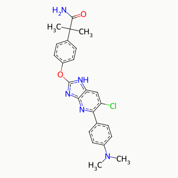 CN(C)c1ccc(-c2nc3nc(Oc4ccc(C(C)(C)C(N)=O)cc4)[nH]c3cc2Cl)cc1